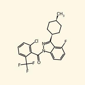 C[C@H]1CC[C@@H](c2nn(C(=O)c3c(Cl)cccc3C(F)(F)F)c3cccc(F)c32)CC1